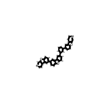 c1cc(-c2ccc3oc4cnccc4c3c2)cc(-c2ccc3oc4ccc(-c5ccc6oc7cnccc7c6c5)cc4c3c2)c1